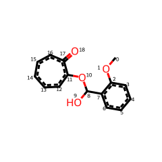 COc1ccccc1C(O)Oc1cccccc1=O